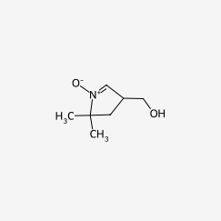 CC1(C)CC(CO)C=[N+]1[O-]